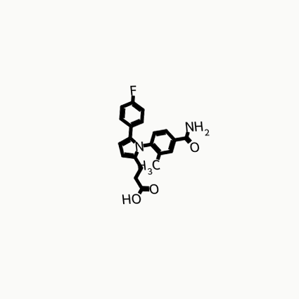 Cc1cc(C(N)=O)ccc1-n1c(CCC(=O)O)ccc1-c1ccc(F)cc1